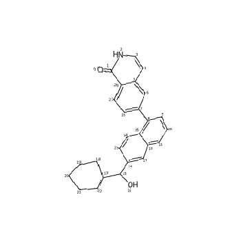 O=c1[nH]ccc2cc(-c3cccc4cc(C(O)C5CCCCC5)ccc34)ccc12